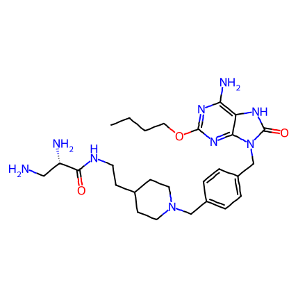 CCCCOc1nc(N)c2[nH]c(=O)n(Cc3ccc(CN4CCC(CCNC(=O)[C@@H](N)CN)CC4)cc3)c2n1